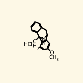 COc1ccc2c(c1)C1Cc3ccccc3C2(C)N1.Cl